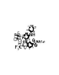 CNS(=O)(=O)c1ccc(OCC(F)(F)F)c(Nc2cc(Nc3ccncc3)ncn2)c1.O=C(O)C(F)(F)F